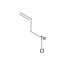 C=CC[Te]Cl